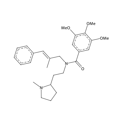 COc1cc(C(=O)N(CCC2CCCN2C)CC(C)=Cc2ccccc2)cc(OC)c1OC